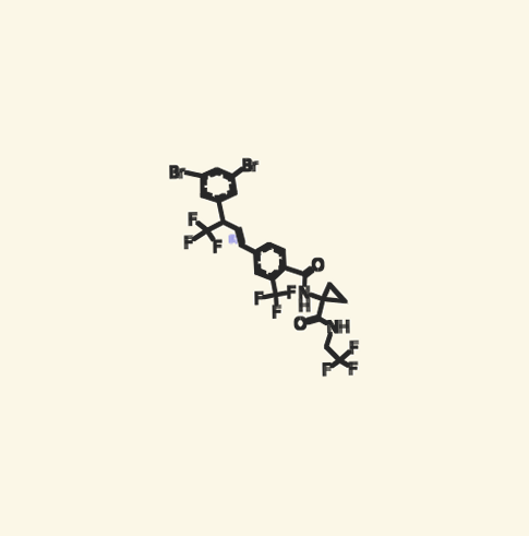 O=C(NC1(C(=O)NCC(F)(F)F)CC1)c1ccc(/C=C/C(c2cc(Br)cc(Br)c2)C(F)(F)F)cc1C(F)(F)F